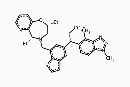 CCOC(=O)C[C@@H](c1cc(CN2C[C@@H](CC)Oc3cccnc3[C@H]2CC)c2sccc2c1)c1ccc2c(nnn2C)c1C